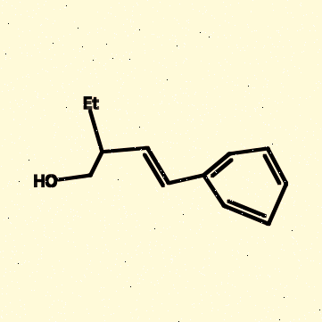 CCC(C=Cc1ccccc1)CO